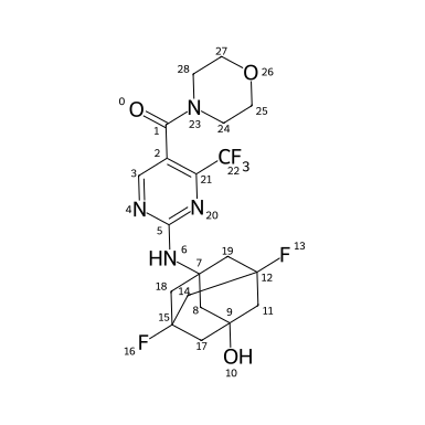 O=C(c1cnc(NC23CC4(O)CC(F)(CC(F)(C4)C2)C3)nc1C(F)(F)F)N1CCOCC1